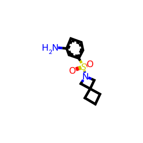 Nc1cccc(S(=O)(=O)N2CC3(CCC3)C2)c1